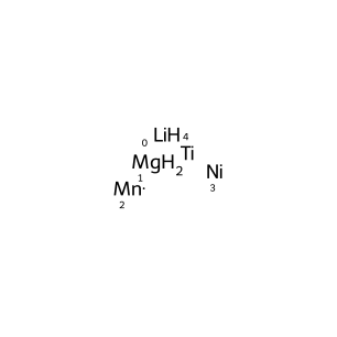 [LiH].[MgH2].[Mn].[Ni].[Ti]